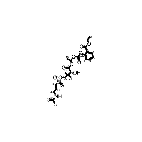 CCOC(=O)c1ccccc1OC(=O)OC(C)OC(=O)[C@H](O)C(C)(C)COS(=O)(=O)CCCNC(C)=O